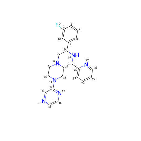 Fc1cccc(C(CN2CCN(c3cnccn3)CC2)NCc2ccccn2)c1